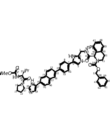 CCCN(Cc1ncc(-c2ccc(-c3ccc4cc(-c5cnc([C@@H]6CCCN6C(=O)[C@@H](NC(=O)OC)C(C)C)[nH]5)ccc4c3)cc2)[nH]1)C(=O)[C@H]1c2ccccc2CCN1C(=O)OCc1ccccc1